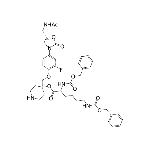 CC(=O)NC[C@H]1CN(c2ccc(OCC3(OC(=O)C(CCCCNC(=O)OCc4ccccc4)NC(=O)OCc4ccccc4)CCNCC3)c(F)c2)C(=O)O1